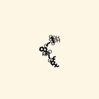 CCC(C)(C)c1ccc(OCCCNC(=O)c2cc(OCCCSC(C(=O)O)C(=O)O)c3ccccc3c2O)c(C(C)(C)CC)c1